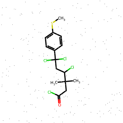 CSc1ccc(C(Cl)(Cl)CC(Cl)C(C)(C)CC(=O)Cl)cc1